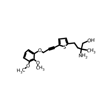 COc1cccc(OCC#Cc2ccc(CCC(C)(N)CO)s2)c1OC